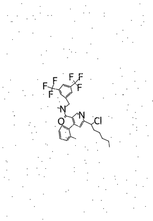 CCCCCC(Cl)c1cc(-c2ccccc2C)c(C(=O)N(C)Cc2cc(C(F)(F)F)cc(C(F)(F)F)c2)cn1